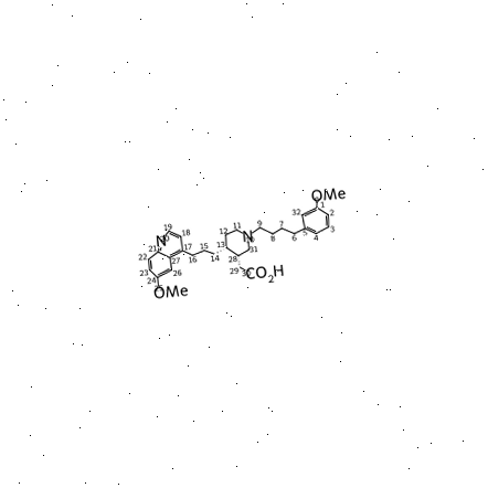 COc1cccc(CCCCN2CC[C@@H](CCCc3ccnc4ccc(OC)cc34)[C@@H](CC(=O)O)C2)c1